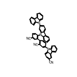 N#Cc1ccc(-n2c3ccccc3c3ccc(-n4c5ccccc5c5ccccc54)cc32)c(-c2ccc(-n3c4ccccc4c4cc(C#N)ccc43)cc2C#N)c1